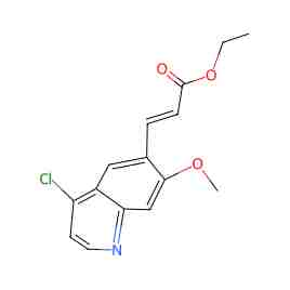 CCOC(=O)/C=C/c1cc2c(Cl)ccnc2cc1OC